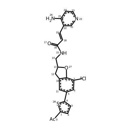 CC(=O)c1ccc(-c2cc(Cl)c3c(c2)CC(CNC(=O)C=Cc2cnccc2N)O3)s1